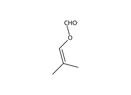 CC(C)=CO[C]=O